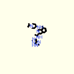 C=C(C)N1CCC(Nc2nc(C(C)Nc3ncnc4[nH]cnc34)cc3cccc(C)c23)CC1